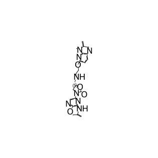 C=C1COc2ncc(N3C[C@H](CNCCOc4ccc5c(n4)N(C)C(=C)C=N5)OC3=O)nc2N1